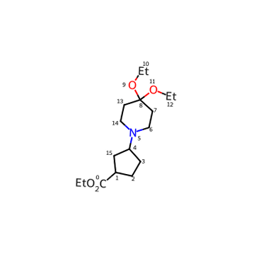 CCOC(=O)C1CCC(N2CCC(OCC)(OCC)CC2)C1